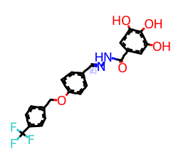 O=C(N/N=C/c1ccc(OCc2ccc(C(F)(F)F)cc2)cc1)c1cc(O)c(O)c(O)c1